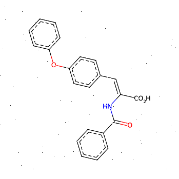 O=C(O)C(=Cc1ccc(Oc2ccccc2)cc1)NC(=O)c1ccccc1